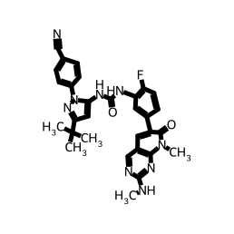 CNc1ncc2cc(-c3ccc(F)c(NC(=O)Nc4cc(C(C)(C)C)nn4-c4ccc(C#N)cc4)c3)c(=O)n(C)c2n1